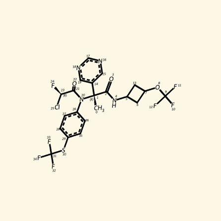 C[C@](C(=O)NC1CC(OC(F)(F)F)C1)(c1cncnc1)N(C(=O)[C@H](F)Cl)c1ccc(SC(F)(F)F)cc1